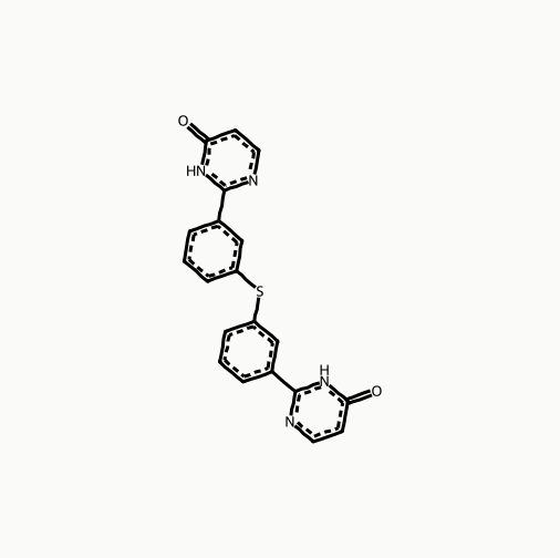 O=c1ccnc(-c2cccc(Sc3cccc(-c4nccc(=O)[nH]4)c3)c2)[nH]1